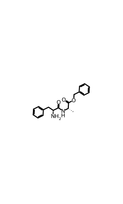 C[C@H](NC(=O)[C@@H](N)Cc1ccccc1)C(=O)OCc1ccccc1